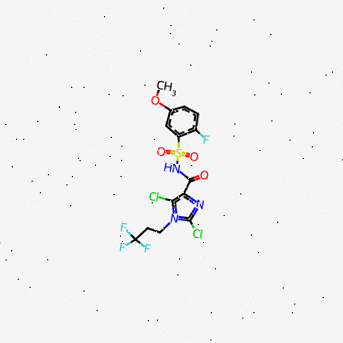 COc1ccc(F)c(S(=O)(=O)NC(=O)c2nc(Cl)n(CCC(F)(F)F)c2Cl)c1